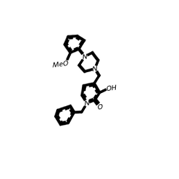 COc1ccccc1N1CCN(Cc2ccn(Cc3ccccc3)c(=O)c2O)CC1